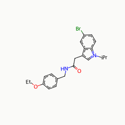 CCOc1ccc(CNC(=O)Cc2cn(C(C)C)c3ccc(Br)cc23)cc1